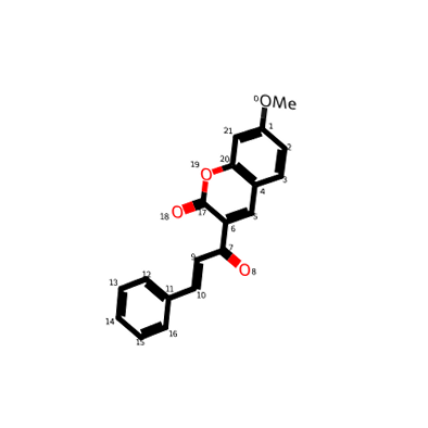 COc1ccc2cc(C(=O)/C=C/c3ccccc3)c(=O)oc2c1